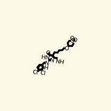 N=Cc1nc(NCc2ccc(Cl)c(Cl)c2)[nH]c(=O)c1CCCCCOC1CCS(=O)(=O)CC1